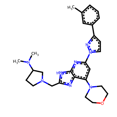 Cc1cccc(-c2ccn(-c3cc(N4CCOCC4)c4nc(CN5CCC(N(C)C)C5)[nH]c4n3)n2)c1